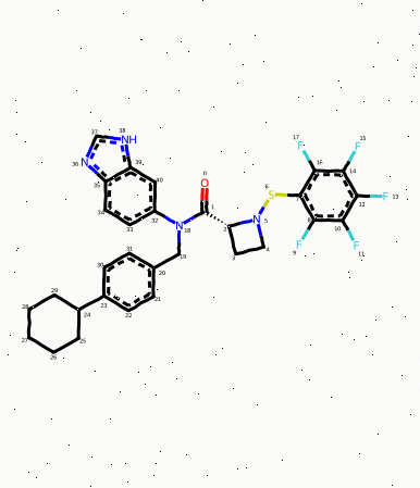 O=C([C@H]1CCN1Sc1c(F)c(F)c(F)c(F)c1F)N(Cc1ccc(C2CCCCC2)cc1)c1ccc2nc[nH]c2c1